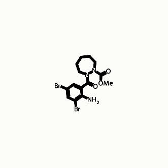 COC(=O)N1CCCCCN1C(=O)c1cc(Br)cc(Br)c1N